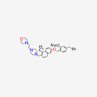 COc1cc(CC(C)C)ccc1COc1ccc2c(c1)CCC(CN1CCN(CCN3CCOCC3)CC1)=C2C